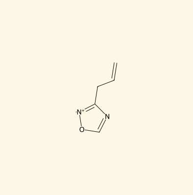 C=CCC1=[N+]OC=N1